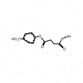 CCCOC(=O)CCC(=O)Oc1ccc(C(=O)O)cc1